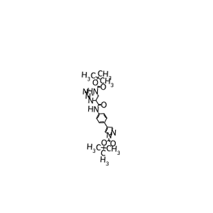 CC(C)(C)OC(=O)NCC(N=[N+]=[N-])C(=O)Nc1ccc(-c2cnn(C(=O)OC(C)(C)C)c2)cc1